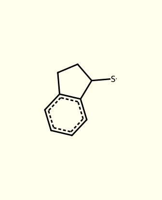 [S]C1CCc2ccccc21